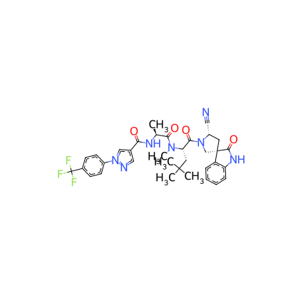 C[C@H](NC(=O)c1cnn(-c2ccc(C(F)(F)F)cc2)c1)C(=O)N(C)[C@@H](CC(C)(C)C)C(=O)N1C[C@]2(C[C@H]1C#N)C(=O)Nc1ccccc12